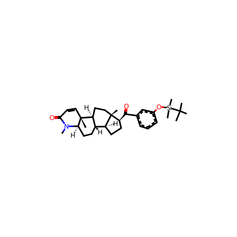 CN1C(=O)C=C[C@]2(C)[C@H]3CC[C@]4(C)[C@@H](C(=O)c5cccc(O[Si](C)(C)C(C)(C)C)c5)CC[C@H]4[C@@H]3CC[C@@H]12